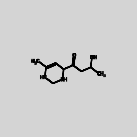 CC1=CC(C(=O)CC(C)O)NCN1